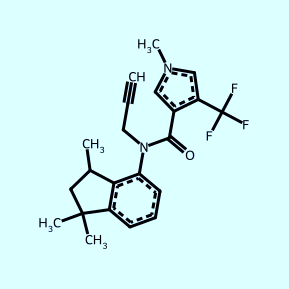 C#CCN(C(=O)c1cn(C)cc1C(F)(F)F)c1cccc2c1C(C)CC2(C)C